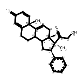 C[C@]12C=CC(=O)C=C1CCC1C2=CC[C@@]2(C)C1C[C@H](c1ccccc1)[C@]2(C)C(=O)CO